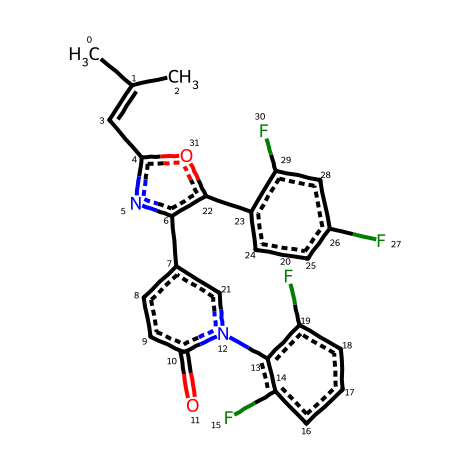 CC(C)=Cc1nc(-c2ccc(=O)n(-c3c(F)cccc3F)c2)c(-c2ccc(F)cc2F)o1